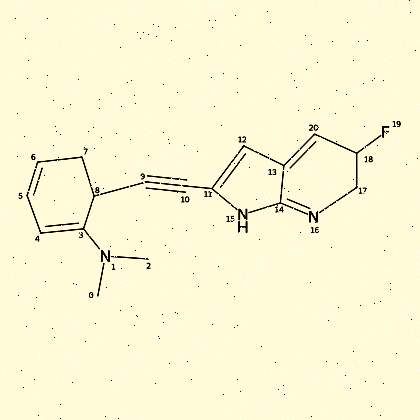 CN(C)C1=CC=CCC1C#Cc1cc2c([nH]1)=NCC(F)C=2